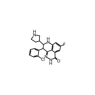 O=c1[nH]nc2c3c(cc(F)cc13)NC(C1CCNC1)C2c1ccccc1Cl